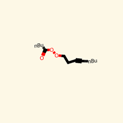 CCCCC#CCCOOC(=O)CCCC